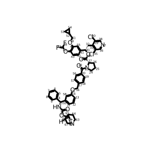 O=C(N[C@@H](c1ccccc1)c1cccc(OCc2ccc(C(=O)N3CCC[C@H]3C(=O)O[C@@H](Cc3c(Cl)cncc3Cl)c3ccc(OC(F)F)c(OCC4CC4)c3)cc2)c1)O[C@H]1CN2CCC1CC2